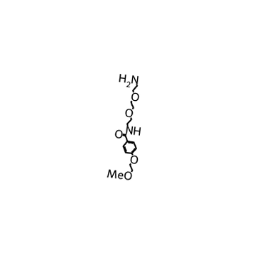 COCCOc1ccc(C(=O)NCCOCCOCCN)cc1